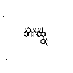 O=C(N[C@H]1CCOc2ccccc21)N1N=CC2=C(c3cccc(Cl)c3Cl)C=CNC2=C1Cl